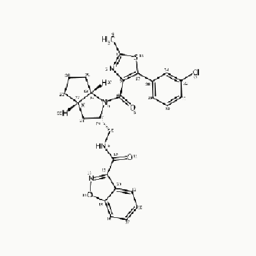 Cc1nc(C(=O)N2[C@H](CNC(=O)c3noc4ccccc34)C[C@@H]3CCC[C@@H]32)c(-c2cccc(Cl)c2)s1